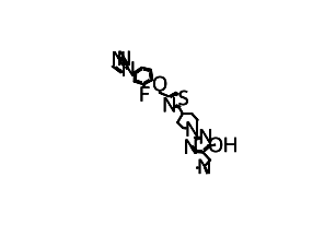 CN(C)Cc1cnc(N2CCC(c3nc(COc4ccc(-n5ccnn5)cc4F)cs3)CC2)nc1O